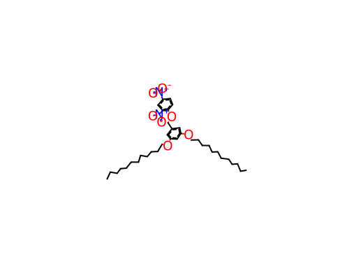 CCCCCCCCCCCCOc1cc(COc2ccc([N+](=O)[O-])cc2[N+](=O)[O-])cc(OCCCCCCCCCCCC)c1